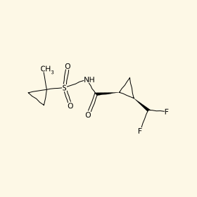 CC1(S(=O)(=O)NC(=O)[C@H]2C[C@H]2C(F)F)CC1